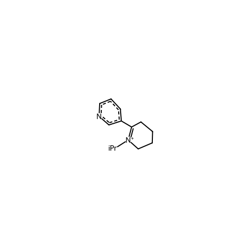 CC(C)[N+]1=C(c2cccnc2)CCCC1